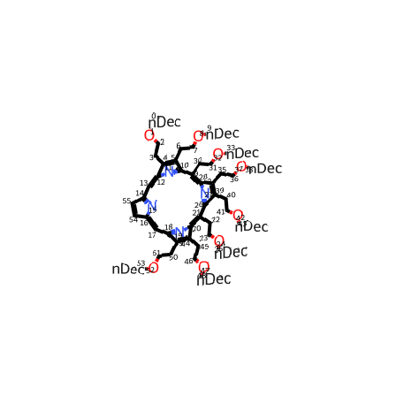 CCCCCCCCCCOCCC1=C(CCOCCCCCCCCCC)C2=NC1=CC1=NC(=CC3=NC(=C(CCOCCCCCCCCCC)C4=NC(=C2CCOCCCCCCCCCC)C(CCOCCCCCCCCCC)=C4CCOCCCCCCCCCC)C(CCOCCCCCCCCCC)=C3CCOCCCCCCCCCC)C=C1